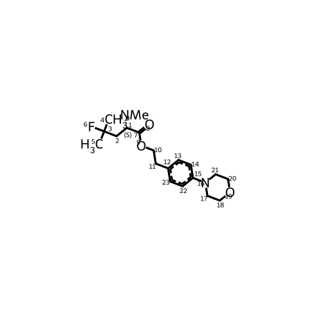 CN[C@@H](CC(C)(C)F)C(=O)OCCc1ccc(N2CCOCC2)cc1